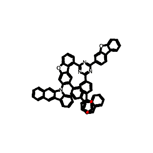 c1ccc(-c2ccc(-c3nc(-c4ccc5c(c4)oc4ccccc45)nc(-c4cccc5oc6cc(-n7c8ccccc8c8cc9ccccc9cc87)c(-c7ccc(-c8cccc9ccccc89)cc7)cc6c45)n3)cc2)cc1